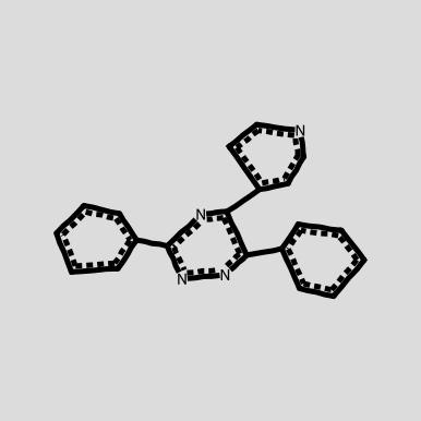 c1ccc(-c2nnc(-c3ccccc3)c(-c3ccncc3)n2)cc1